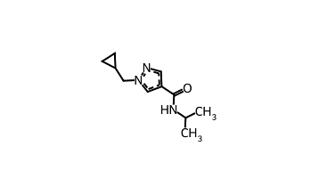 CC(C)NC(=O)c1cnn(CC2CC2)c1